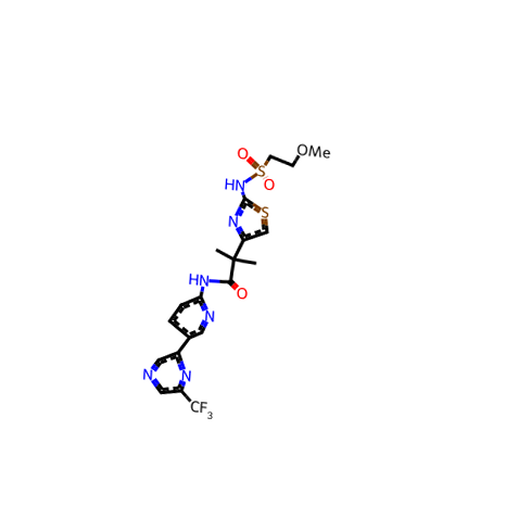 COCCS(=O)(=O)Nc1nc(C(C)(C)C(=O)Nc2ccc(-c3cncc(C(F)(F)F)n3)cn2)cs1